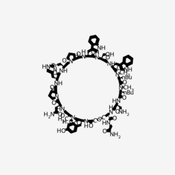 CCCC[C@H]1C(=O)N(C)[C@@H](CCCC)C(=O)N[C@@H](CN)C(=O)N[C@H](C(=O)NCC(N)=O)CSCC(=O)N[C@@H](Cc2ccc(O)cc2)C(=O)N(C)[C@@H](C)C(=O)N[C@@H](CC(N)=O)C(=O)N2CCC[C@H]2C(=O)N[C@@H](Cc2c[nH]cn2)C(=O)N[C@@H](CC(C)C)C(=O)N2CCC[C@H]2C(=O)N[C@@H](Cc2c[nH]c3ccccc23)C(=O)N[C@@H](CO)C(=O)N[C@@H](Cc2c[nH]c3ccccc23)C(=O)N1C